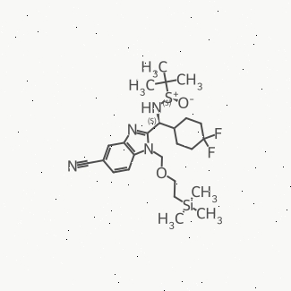 CC(C)(C)[S@@+]([O-])N[C@H](c1nc2cc(C#N)ccc2n1COCC[Si](C)(C)C)C1CCC(F)(F)CC1